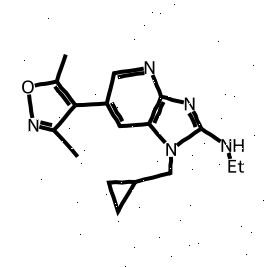 CCNc1nc2ncc(-c3c(C)noc3C)cc2n1CC1CC1